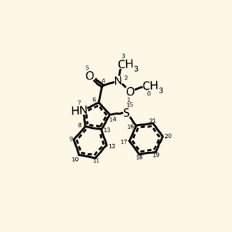 CON(C)C(=O)c1[nH]c2ccccc2c1Sc1ccccc1